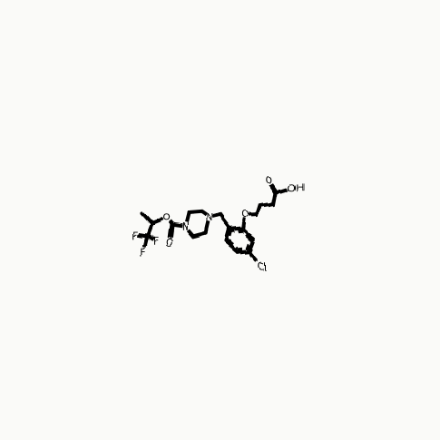 CC(OC(=O)N1CCN(Cc2ccc(Cl)cc2OCCCC(=O)O)CC1)C(F)(F)F